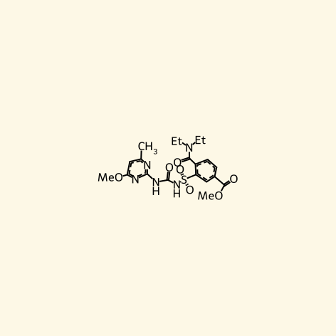 CCN(CC)C(=O)c1ccc(C(=O)OC)cc1S(=O)(=O)NC(=O)Nc1nc(C)cc(OC)n1